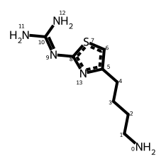 NCCCCc1csc(N=C(N)N)n1